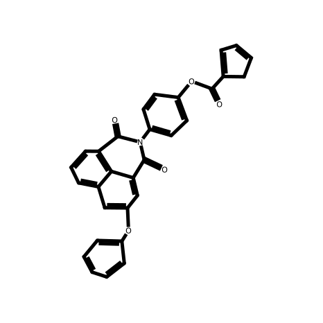 O=C(Oc1ccc(N2C(=O)c3cccc4cc(Oc5ccccc5)cc(c34)C2=O)cc1)C1=CC=CC1